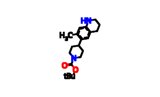 Cc1cc2c(cc1C1CCN(C(=O)OC(C)(C)C)CC1)CCCN2